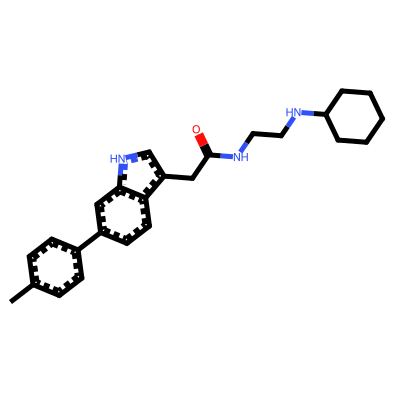 Cc1ccc(-c2ccc3c(CC(=O)NCCNC4CCCCC4)c[nH]c3c2)cc1